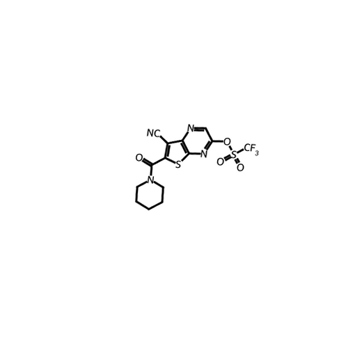 N#Cc1c(C(=O)N2CCCCC2)sc2nc(OS(=O)(=O)C(F)(F)F)cnc12